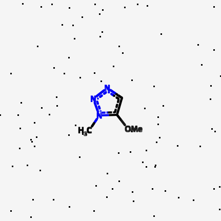 COc1cnnn1C